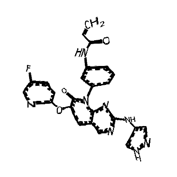 C=CC(=O)Nc1cccc(-n2c(=O)c(Oc3ccc(F)cn3)cc3cnc(Nc4cn[nH]c4)nc32)c1